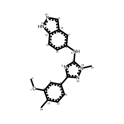 COc1cc(-c2nc(Nc3ccc4[nH]ncc4c3)n(C)n2)ccc1C